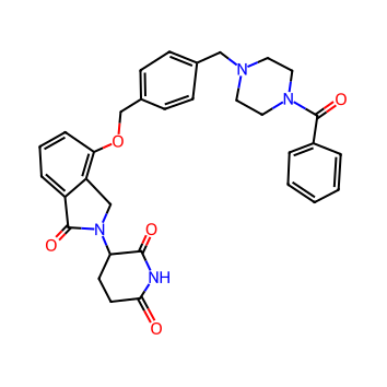 O=C1CCC(N2Cc3c(OCc4ccc(CN5CCN(C(=O)c6ccccc6)CC5)cc4)cccc3C2=O)C(=O)N1